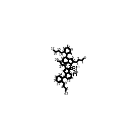 CCCCC1=Cc2c(-c3ccccc3CCCC)cccc2[CH]1[Zr]([CH]1C(CCCC)=Cc2c(-c3ccccc3CCCC)cccc21)[SiH](C)C